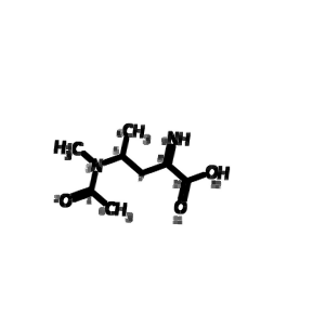 CC(=O)N(C)C(C)CC(=N)C(=O)O